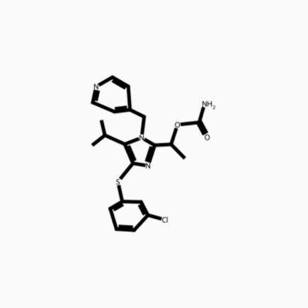 CC(C)c1c(Sc2cccc(Cl)c2)nc(C(C)OC(N)=O)n1Cc1ccncc1